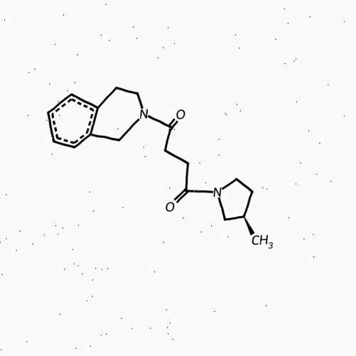 C[C@@H]1CCN(C(=O)CCC(=O)N2CCc3ccccc3C2)C1